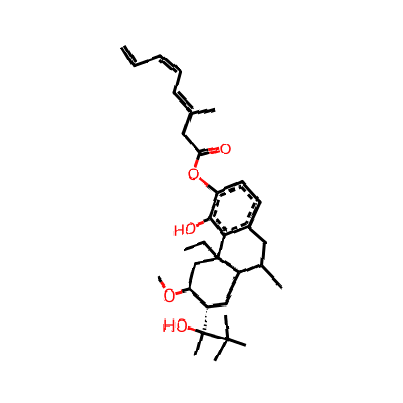 C=C/C=C\C=C(/C)CC(=O)Oc1ccc2c(c1O)C1(CC)CC(OC)[C@@H](C(C)(O)C(C)(C)C)CC1C(C)C2